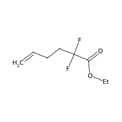 C=CCCC(F)(F)C(=O)OCC